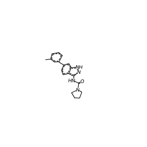 Cc1cccc(-c2ccc3c(NC(=O)N4CCCC4)n[nH]c3c2)c1